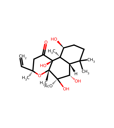 C=C[C@@]1(C)CC(=O)[C@]2(O)[C@@]3(C)[C@@H](O)CCC(C)(C)[C@@H]3[C@H](O)[C@](O)(OC(C)=O)[C@]2(C)O1